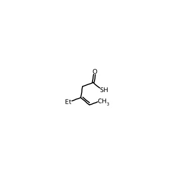 CC=C(CC)CC(=O)S